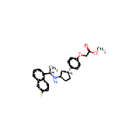 COC(=O)COc1ccc([C@@H]2CCC(N[C@H](C)c3cccc4cc(F)ccc34)C2)cc1